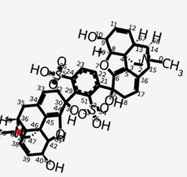 CN1CC[C@]23C4=C5O[C@H]2[C@@H](O)C=C[C@H]3[C@H]1CC4=CCC5(O)c1ccc(S(=O)(=O)O)c(C2(O)CC=C3C[C@@H]4[C@@H]5C=C[C@H](O)[C@@H]6OC2=C3[C@]56CCN4C)c1S(=O)(=O)O